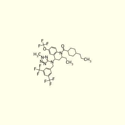 CCCC1CCC(C(=O)N2c3ccc(OC(F)(F)F)cc3C(N(Cc3cc(C(F)(F)F)cc(C(F)(F)F)c3)c3nnn(C)n3)CC2CC)CC1